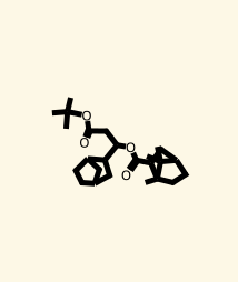 CC(C)(C)OC(=O)CC(OC(=O)C1CC2CCC1(C)C2(C)C)C1CC2CCC1C2